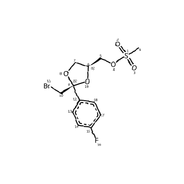 CS(=O)(=O)OC[C@@H]1CO[C@@](CBr)(c2ccc(F)cc2)O1